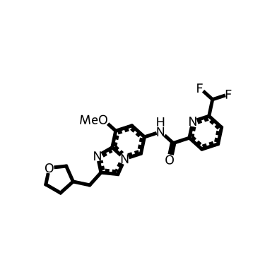 COc1cc(NC(=O)c2cccc(C(F)F)n2)cn2cc(CC3CCOC3)nc12